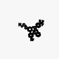 CCO[C@H]1C[C@@H](COc2ccc(C(F)(F)F)cc2)[C@H](C(=O)OCc2ccccc2)[C@@H](c2ccc(Br)cc2)C1